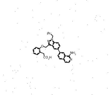 CC(C)Cn1nc(COc2ccccc2CC(=O)O)c2cc(-c3ccc4ccnc(N)c4c3)ccc21